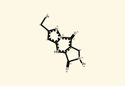 CC(C)Cc1cc2[nH]c3c(c(=O)n2n1)CN(C(C)C)C3=O